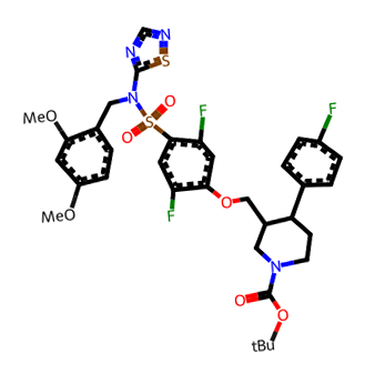 COc1ccc(CN(c2ncns2)S(=O)(=O)c2cc(F)c(OCC3CN(C(=O)OC(C)(C)C)CCC3c3ccc(F)cc3)cc2F)c(OC)c1